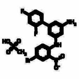 CS(=O)(=O)O.Nc1cc(Nc2ccc(Br)cc2[N+](=O)[O-])cc(-c2ccc(F)cc2F)c1